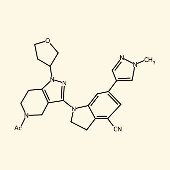 CC(=O)N1CCc2c(c(N3CCc4c(C#N)cc(-c5cnn(C)c5)cc43)nn2C2CCOC2)C1